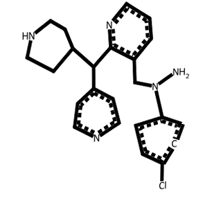 NN(Cc1cccnc1C(c1ccncc1)C1CCNCC1)c1ccc(Cl)cc1